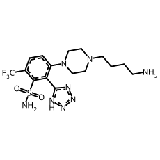 NCCCCN1CCN(c2ccc(C(F)(F)F)c(S(N)(=O)=O)c2-c2nnn[nH]2)CC1